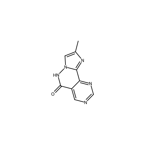 Cc1cn2[nH]c(=O)c3cncnc3c2n1